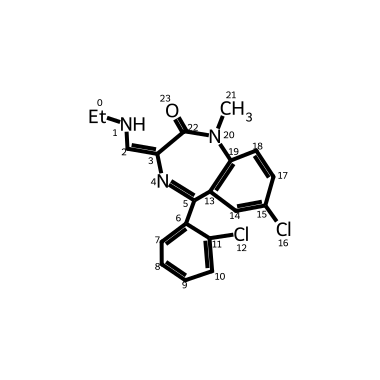 CCNC=C1N=C(c2ccccc2Cl)c2cc(Cl)ccc2N(C)C1=O